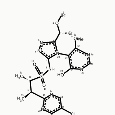 CC[C@@H](OC(C)C)c1nnc(NS(=O)(=O)[C@@H](C)[C@H](C)c2ncc(Cl)cn2)n1-c1c(O)ncnc1OC